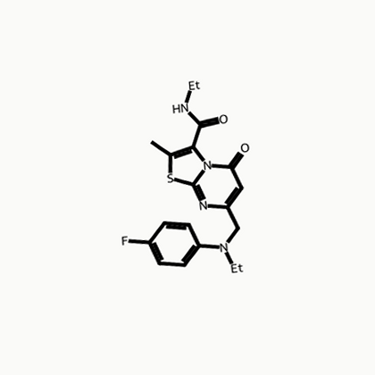 CCNC(=O)c1c(C)sc2nc(CN(CC)c3ccc(F)cc3)cc(=O)n12